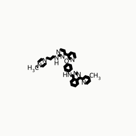 Cc1ccnc(-c2nnc(Nc3ccc(Oc4ncccc4-c4ccnc(NCCCN5CCN(C)CC5)n4)cc3)c3ccccc23)c1